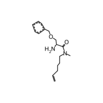 C=CCCCCN(C)C(=O)[C@@H](N)COCc1ccccc1